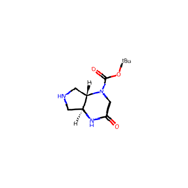 CC(C)(C)OC(=O)N1CC(=O)N[C@H]2CNC[C@@H]21